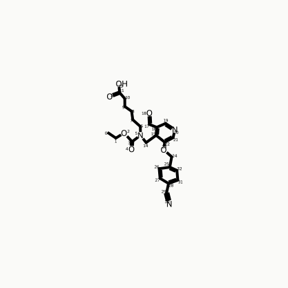 CCOC(=O)N(CCCCCC(=O)O)Cc1c(C=O)cncc1OCc1ccc(C#N)cc1